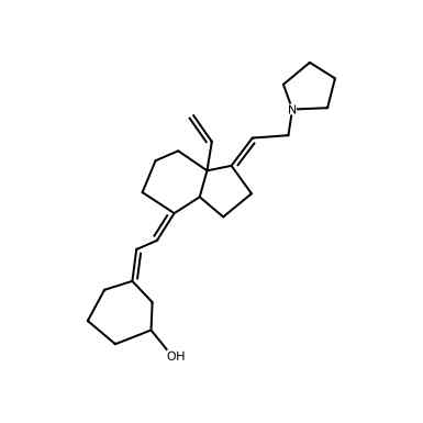 C=CC12CCC/C(=C\C=C3\CCCC(O)C3)C1CC/C2=C\CN1CCCC1